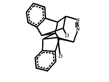 ClC1C2N=NC3C(Cl)C4c5ccccc5C3C43C1c1ccccc1C23